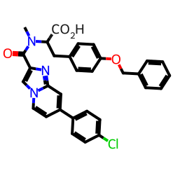 CN(C(=O)c1cn2ccc(-c3ccc(Cl)cc3)cc2n1)C(Cc1ccc(OCc2ccccc2)cc1)C(=O)O